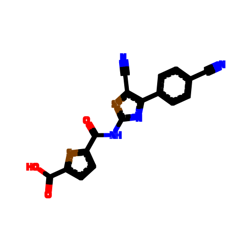 N#Cc1ccc(-c2nc(NC(=O)c3ccc(C(=O)O)s3)sc2C#N)cc1